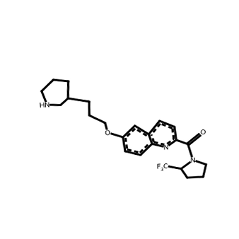 O=C(c1ccc2cc(OCCCC3CCCNC3)ccc2n1)N1CCCC1C(F)(F)F